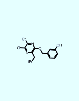 CCc1nc(OCc2cccc(O)c2)c(CC(C)C)nc1Cl